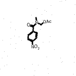 CC(=O)OCN(C)C(=O)c1ccc([N+](=O)[O-])cc1